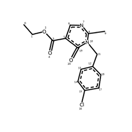 CCOC(=O)c1cnc(C)n(Cc2ccc(Cl)cc2)c1=O